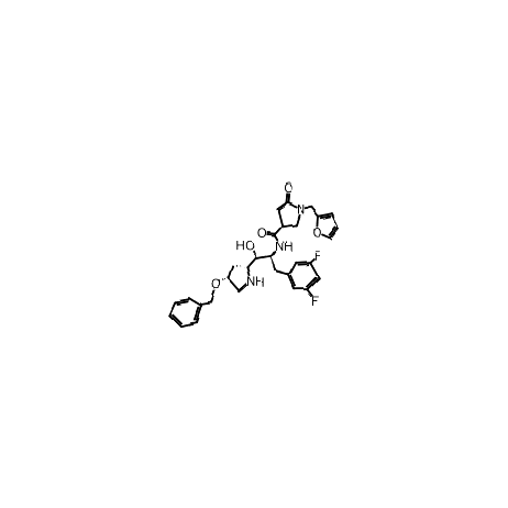 O=C(N[C@@H](Cc1cc(F)cc(F)c1)[C@H](O)[C@H]1C[C@@H](OCc2ccccc2)CN1)C1CC(=O)N(Cc2ccco2)C1